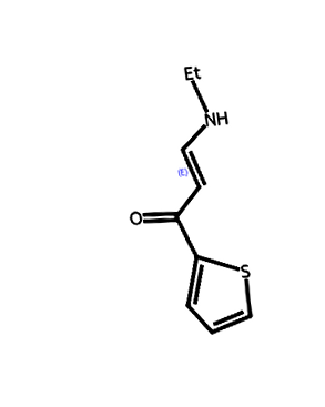 CCN/C=C/C(=O)c1cccs1